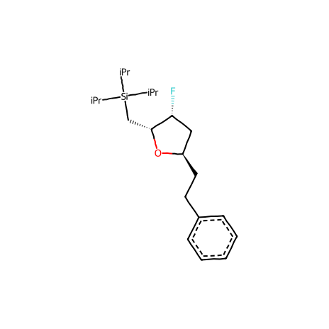 CC(C)[Si](C[C@H]1O[C@H](CCc2ccccc2)C[C@H]1F)(C(C)C)C(C)C